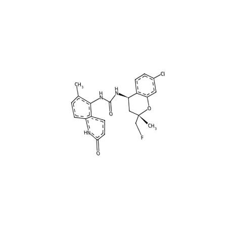 Cc1ccc2[nH]c(=O)ccc2c1NC(=O)N[C@@H]1C[C@@](C)(CF)Oc2cc(Cl)ccc21